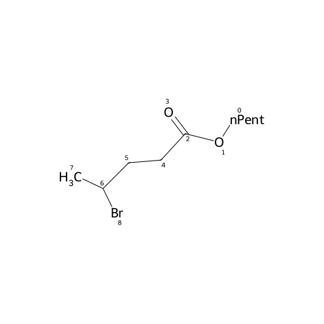 CCCCCOC(=O)CCC(C)Br